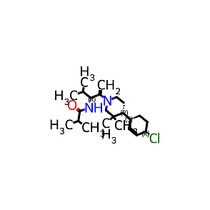 C=C([C@H](NC(=O)C(C)C)C(C)C)N1CC[C@H]([C@@H]2C=C[C@H](Cl)CC2)C(C)(C)C1